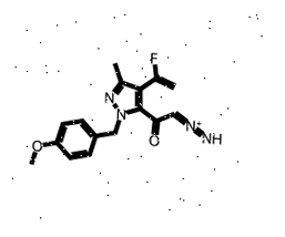 C=C(F)c1c(C)nn(Cc2ccc(OC)cc2)c1C(=O)C=[N+]=N